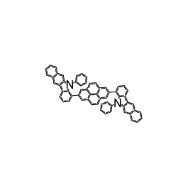 c1ccc(-n2c3cc4ccccc4cc3c3cccc(-c4cc5ccc6cc(-c7cccc8c9cc%10ccccc%10cc9n(-c9ccccc9)c78)cc7ccc(c4)c5c67)c32)cc1